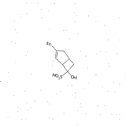 CCC1=CC2C(C1)CC2(O)S(=O)(=O)O